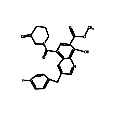 COC(=O)c1cc(C(=O)N2CCCC(=O)C2)c2cc(Cc3ccc(F)cc3)cnc2c1O